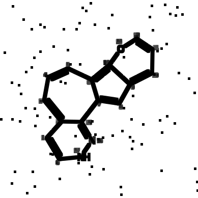 C1=Cc2cccc3c(cc4cccoc43)c2=NN1